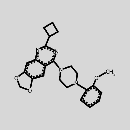 COc1ccccc1N1CCN(c2nc(C3CCC3)nc3cc4c(cc23)OCO4)CC1